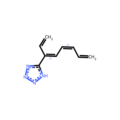 C=C/C=C\C=C(/C=C)c1nnn[nH]1